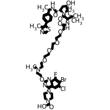 Cc1ncsc1-c1ccc(C(C)NC(=O)[C@@H]2C[C@@H](O)CN2C(=O)C(NC(=O)COCCOCCOCCOCCN(C)CCOc2nc(N3CCN(C(=O)O)CC3)c3cc(Cl)c(Br)c(F)c3n2)C(C)(C)C)cc1